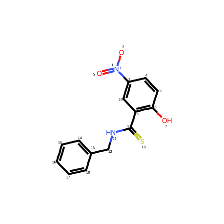 O=[N+]([O-])c1ccc(O)c(C(=S)NCc2ccccc2)c1